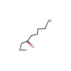 CCCCCCCC(=O)CCCCC(C)C